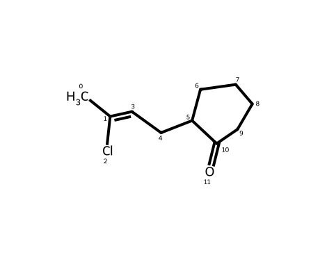 C/C(Cl)=C/CC1CCCCC1=O